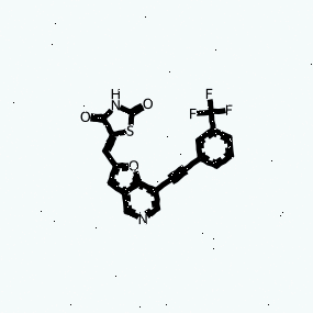 O=C1NC(=O)C(=Cc2cc3cncc(C#Cc4cccc(C(F)(F)F)c4)c3o2)S1